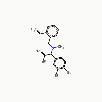 C=Cc1ccccc1CN(C)C(C(=C)CCC)c1ccc(CC)c(CC)c1